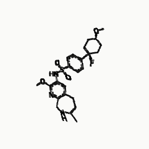 COc1nc2c(cc1NS(=O)(=O)c1ccc([C@]3(F)CC[C@@H](OC)CC3)cc1)CCC(C)NC2